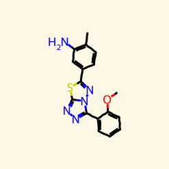 COc1ccccc1-c1nnc2sc(-c3ccc(C)c(N)c3)nn12